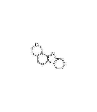 c1ccc2c(c1)nc1c3coccc3ccc21